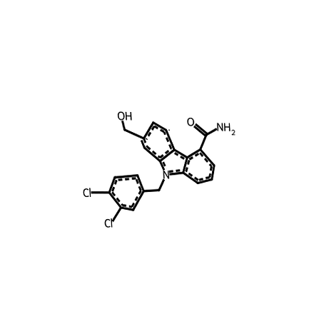 NC(=O)c1cccc2c1c1[c]cc(CO)cc1n2Cc1ccc(Cl)c(Cl)c1